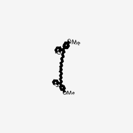 COc1ccc(C(CCCCCCCSCCCCCCCC(c2ccc(OC)cc2)C2CCCCO2)C2CCCCO2)cc1